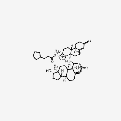 CC1CC(=O)C=C2CC[C@H]3[C@@H]4CC[C@H](O)[C@@]4(C)CC[C@@H]3[C@]21C.C[C@]12CC[C@H]3[C@@H](CCC4=CC(=O)CC[C@@]43C)[C@@H]1CC[C@@H]2OC(=O)CCC1CCCC1